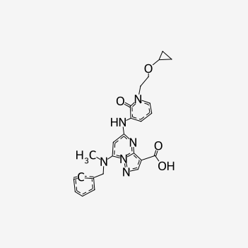 CN(Cc1ccccc1)c1cc(Nc2cccn(CCOC3CC3)c2=O)nc2c(C(=O)O)cnn12